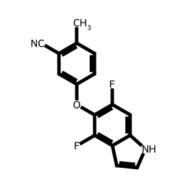 Cc1ccc(Oc2c(F)cc3[nH]ccc3c2F)cc1C#N